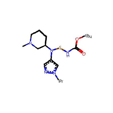 CC(C)n1cc(N(SNC(=O)OC(C)(C)C)C2CCCN(C)C2)cn1